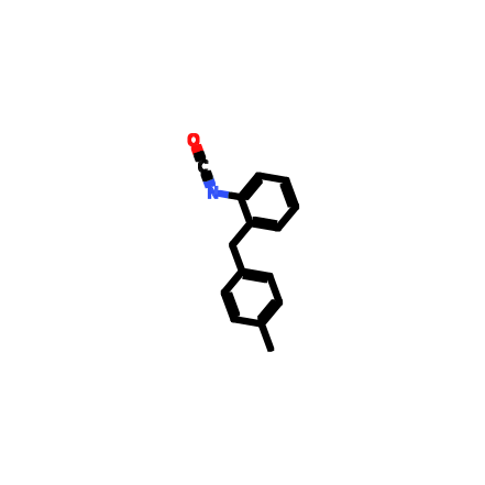 Cc1ccc(Cc2ccccc2N=C=O)cc1